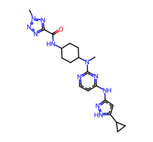 CN(c1nccc(Nc2cc(C3CC3)[nH]n2)n1)C1CCC(NC(=O)c2nnn(C)n2)CC1